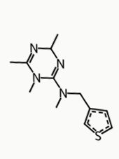 CC1=NC(C)N=C(N(C)Cc2ccsc2)N1C